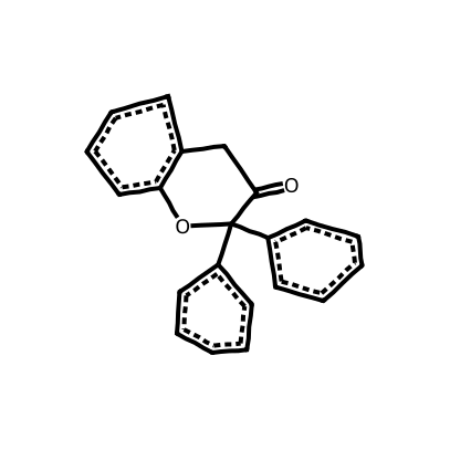 O=C1Cc2ccccc2OC1(c1ccccc1)c1ccccc1